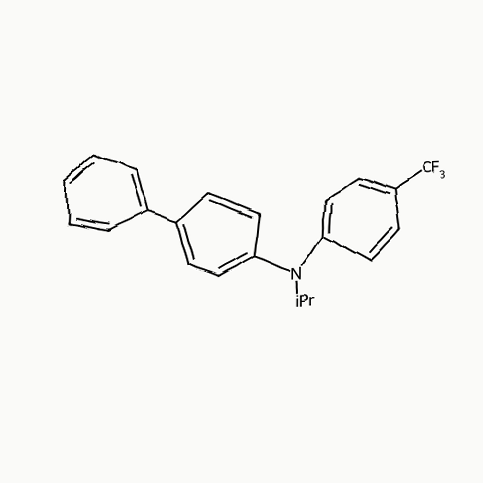 CC(C)N(c1ccc(-c2ccccc2)cc1)c1ccc(C(F)(F)F)cc1